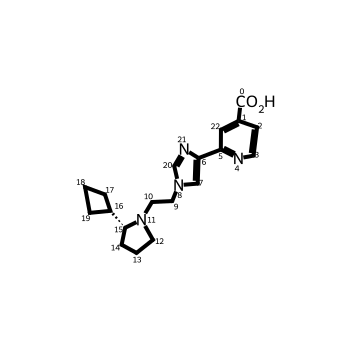 O=C(O)c1ccnc(-c2cn(CCN3CCC[C@@H]3C3CCC3)cn2)c1